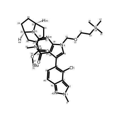 Cn1cc2c(Cl)c(-c3cn(COCC[Si](C)(C)C)c4nc(N5[C@H]6CC[C@@H]5CN(C(=O)OC(C)(C)C)CC6)n(C)c(=O)c34)ccc2n1